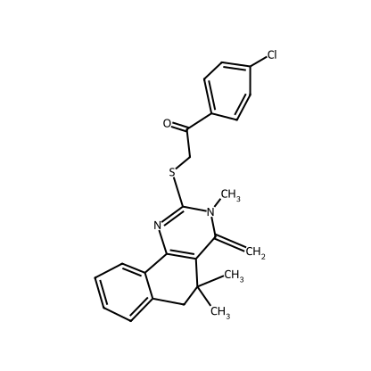 C=C1C2=C(N=C(SCC(=O)c3ccc(Cl)cc3)N1C)c1ccccc1CC2(C)C